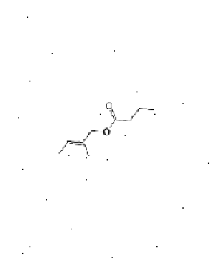 C/C=C(\C)COC(=O)CCC